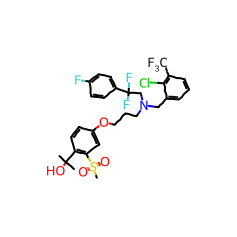 CC(C)(O)c1ccc(OCCCN(Cc2cccc(C(F)(F)F)c2Cl)CC(F)(F)c2ccc(F)cc2)cc1S(C)(=O)=O